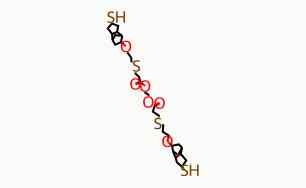 O=C(CCSCCCOC1CC2CC1C1CC(S)CC21)OCCOC(=O)CCSCCCOC1CC2CC1C1CC(S)CC21